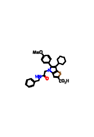 COc1ccc(-c2c(C3CCCCC3)c3sc(C(=O)O)cc3n2CC(=O)NCc2ccccc2)cc1